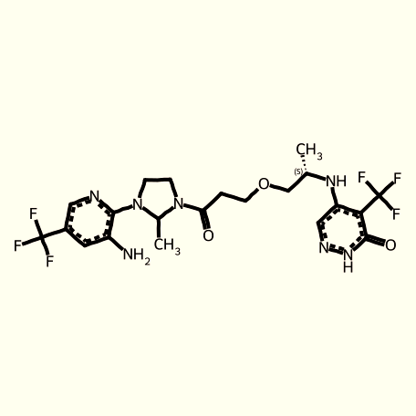 CC1N(C(=O)CCOC[C@H](C)Nc2cn[nH]c(=O)c2C(F)(F)F)CCN1c1ncc(C(F)(F)F)cc1N